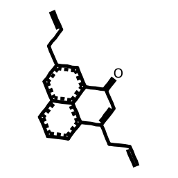 C=CCC1=CC(=O)c2cc(CC=C)cc3cccc1c23